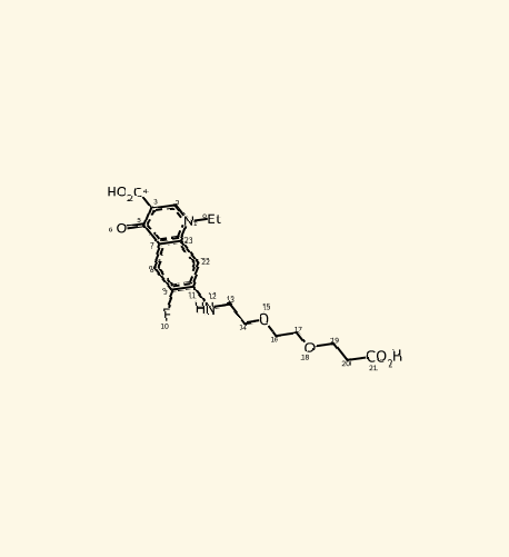 CCn1cc(C(=O)O)c(=O)c2cc(F)c(NCCOCCOCCC(=O)O)cc21